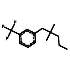 CCCC(C)(C)Cc1cccc(C(F)(F)F)c1